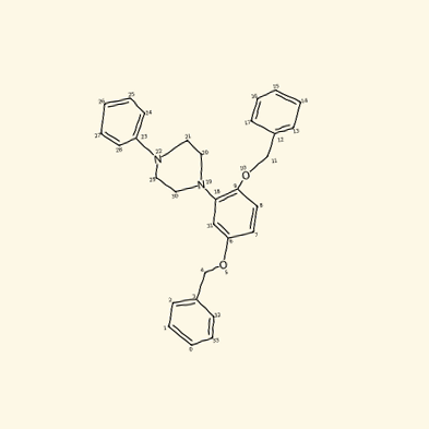 c1ccc(COc2ccc(OCc3ccccc3)c(N3CCN(c4ccccc4)CC3)c2)cc1